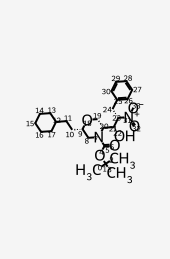 CC(C)(C)OC(=O)N1C[C@H](CCC2CCCCC2)OC[C@@H]1[C@@H](O)[C@H](Cc1ccccc1)[N+](=O)[O-]